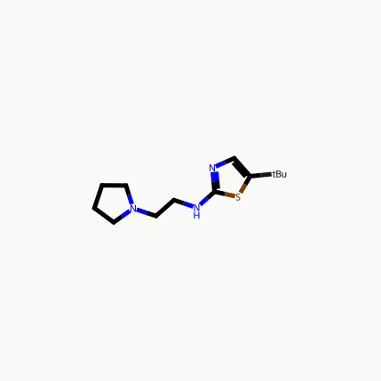 CC(C)(C)c1cnc(NCCN2CCCC2)s1